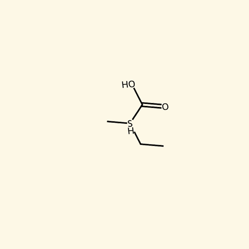 CC[SH](C)C(=O)O